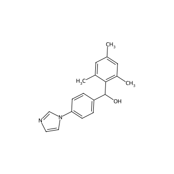 Cc1cc(C)c(C(O)c2ccc(-n3ccnc3)cc2)c(C)c1